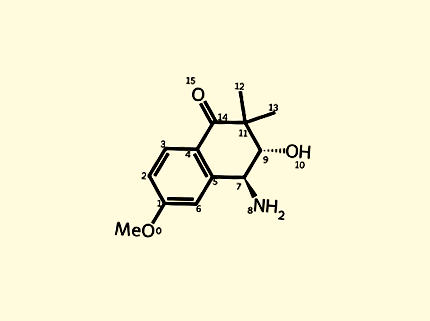 COc1ccc2c(c1)[C@H](N)[C@@H](O)C(C)(C)C2=O